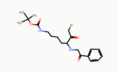 CC(C)(C)OC(=O)NCCCCC(NCC(=O)c1ccccc1)C(=O)CBr